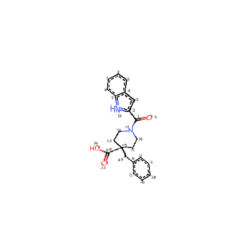 O=C(c1cc2ccccc2[nH]1)N1CCC(Cc2ccccc2)(C(=O)O)CC1